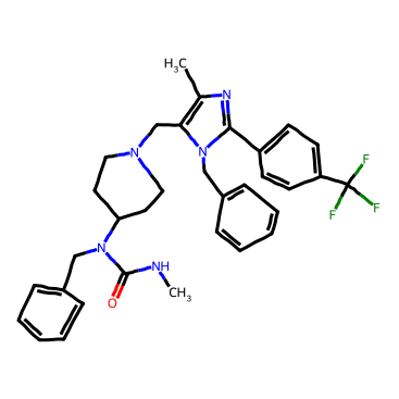 CNC(=O)N(Cc1ccccc1)C1CCN(Cc2c(C)nc(-c3ccc(C(F)(F)F)cc3)n2Cc2ccccc2)CC1